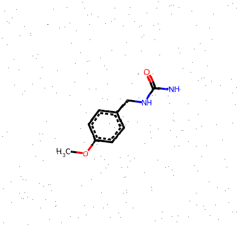 COc1ccc(CNC([NH])=O)cc1